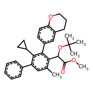 COC(=O)C(OC(C)(C)C)c1c(C)cc(-c2ccccc2)c(C2CC2)c1-c1ccc2c(c1)CCCO2